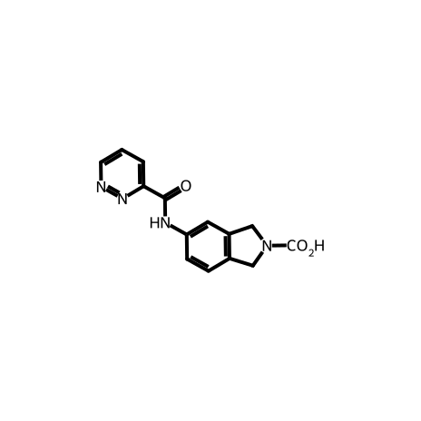 O=C(Nc1ccc2c(c1)CN(C(=O)O)C2)c1cccnn1